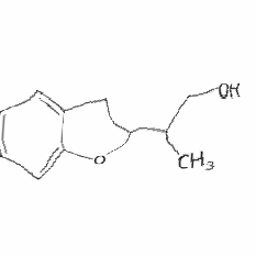 CC(CO)C1Cc2ccccc2O1